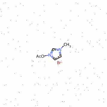 CC(=O)O[n+]1ccn(C)c1.[Br-]